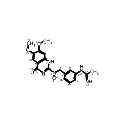 COc1cc2[nH]c(N(C)Cc3cccc(NC(C)=N)c3)nc(=O)c2cc1OC